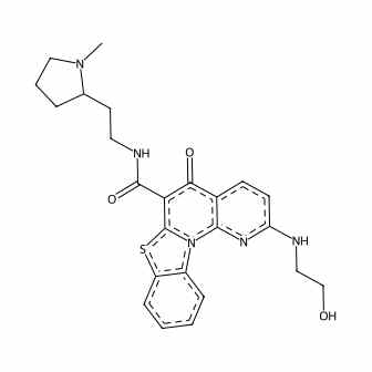 CN1CCCC1CCNC(=O)c1c(=O)c2ccc(NCCO)nc2n2c1sc1ccccc12